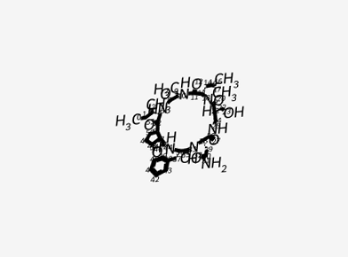 CCC(C)[C@@H]1NC(=O)[C@H](C)NC(=O)[C@H](CC(C)C)NC(=O)[C@@H](CO)CNC(=O)[C@H](CC(N)=O)NC(=O)[C@H](Cc2ccccc2)NC(=O)[C@@H]2CCCC2C1=O